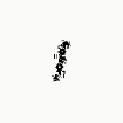 Cn1c(C(=O)N2CC(F)(F)C2)cc2c1CN(c1nccc(Nc3ccc(B4OC(C)(C)C(C)(C)O4)c(F)c3)n1)CC2